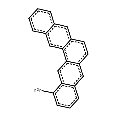 CCCc1cccc2cc3ccc4cc5ccccc5cc4c3cc12